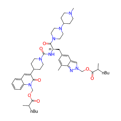 CCCCC(C)C(=O)OCn1cc2cc(C[C@@H](NC(=O)N3CCC(c4cc5ccccc5n(COC(=O)C(C)CCCC)c4=O)CC3)C(=O)N3CCN(C4CCN(C)CC4)CC3)cc(C)c2n1